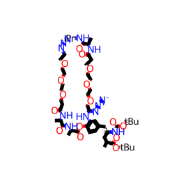 CC(C)NC(=O)C(C)NC(=O)CCOCCOCCOCC(N=[N+]=[N-])Nc1cc(C[C@@H](CC(C)C(=O)OC(C)(C)C)NC(=O)OC(C)(C)C)ccc1OC(=O)C(C)NC(=O)C(C)NC(=O)CCOCCOCCOCCN=[N+]=[N-]